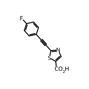 O=C(O)c1cnc(C#Cc2ccc(F)cc2)s1